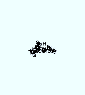 COC(C)(C)c1nnc(-c2ccc(Oc3cc(C(=O)O)cc(C)c3CN3CC(C)CC3=O)cc2)s1